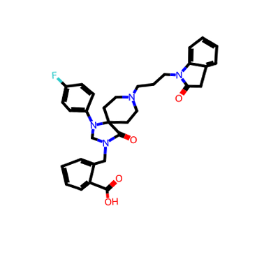 O=C(O)c1ccccc1CN1CN(c2ccc(F)cc2)C2(CCN(CCCN3C(=O)Cc4ccccc43)CC2)C1=O